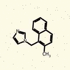 Cc1ccc2ccccc2c1Cn1ccnc1